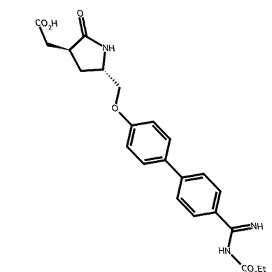 CCOC(=O)NC(=N)c1ccc(-c2ccc(OC[C@@H]3C[C@@H](CC(=O)O)C(=O)N3)cc2)cc1